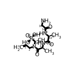 C=CCN(C(=O)[C@H](C)NC(=O)[C@H](C)NC(=O)CN)[C@@H](C)P(=O)(O)O